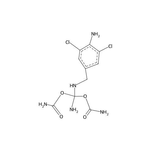 NC(=O)OC(N)(NCc1cc(Cl)c(N)c(Cl)c1)OC(N)=O